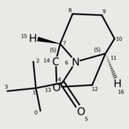 CC(C)(C)C(=O)N1[C@H]2CCC[C@H]1COC2